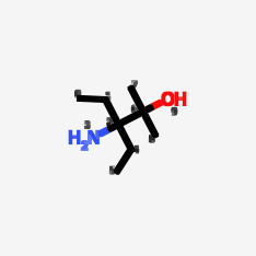 CCC(N)(CC)C(C)(C)O